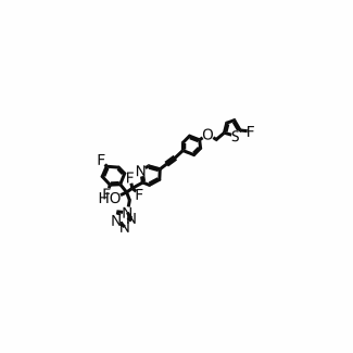 OC(Cn1cnnn1)(c1ccc(F)cc1F)C(F)(F)c1ccc(C#Cc2ccc(OCc3ccc(F)s3)cc2)cn1